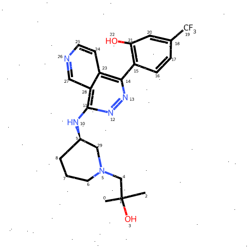 CC(C)(O)CN1CCC[C@@H](Nc2nnc(-c3ccc(C(F)(F)F)cc3O)c3ccncc23)C1